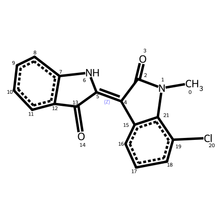 CN1C(=O)/C(=C2\Nc3ccccc3C2=O)c2cccc(Cl)c21